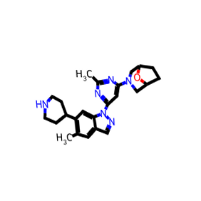 Cc1nc(N2CC3CCC(C2)O3)cc(-n2ncc3cc(C)c(C4CCNCC4)cc32)n1